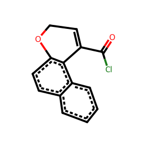 O=C(Cl)C1=CCOc2ccc3ccccc3c21